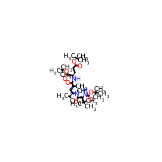 C/C(=C\[C@H](C(C)C)N(C)C(=O)[C@@H](NC(=O)OC(C)(C)C)C(C)(C)C)C(=O)N[C@H](CCC(=O)OC(C)(C)C)C(=O)OC(C)(C)C